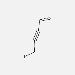 O=CC#CCI